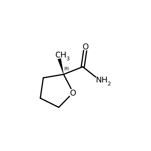 C[C@]1(C(N)=O)CCCO1